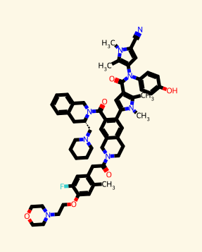 Cc1cc(OCCN2CCOCC2)c(F)cc1CC(=O)N1CCc2cc(-c3cc(C(=O)N(c4ccc(O)cc4)c4cc(C#N)n(C)c4C)c(C)n3C)c(C(=O)N3Cc4ccccc4C[C@H]3CN3CCCCC3)cc2C1